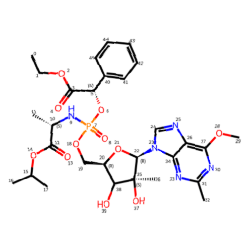 CCOC(=O)[C@@H](OP(=O)(N[C@@H](C)C(=O)OC(C)C)OC[C@H]1O[C@@H](n2cnc3c(OC)nc(C)nc32)[C@@](C)(O)C1O)c1ccccc1